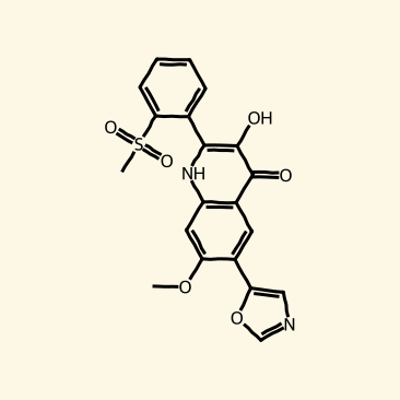 COc1cc2[nH]c(-c3ccccc3S(C)(=O)=O)c(O)c(=O)c2cc1-c1cnco1